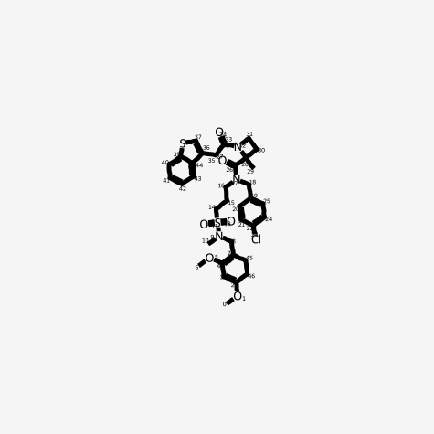 COC1=CC(OC)=C(CN(C)S(=O)(=O)CCCN(Cc2ccc(Cl)cc2)C(=O)C2(C)CCN2C(=O)Cc2csc3ccccc23)CC1